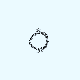 C=Cc1ccc2c(c1)OCCOCCOCCOCCOCCOc1cc(C=C)ccc1OCCOCCOCCOCCOCCO2